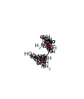 CCCC[C@@H](C(=O)N(C)[C@@H](CCCC)C(=O)N[C@@H](CC(C)C)C(=O)NCCCCC(=O)NC(C(=O)N1CCCC[C@H]1C(=O)N[C@@H](CC(N)=O)C(=O)N1CCC[C@H]1C(=O)N[C@@H](CN)C(=O)N[C@@H](CC(C)C)C(=O)N1C[C@H](O)C[C@H]1C)c1ccc(C)cc1)N(C)C(=O)[C@H](Cc1cn(CC(=O)O)c2ccccc12)NC(=O)[C@H](CCN)NC(=O)[C@H](Cc1c[nH]c2ccccc12)NO